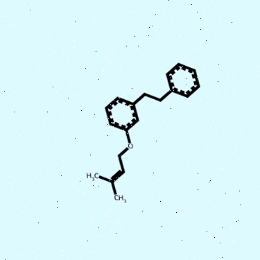 CC(C)=CCOc1cccc(CCc2ccccc2)c1